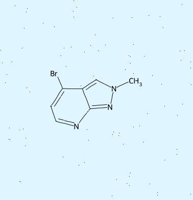 Cn1cc2c(Br)ccnc2n1